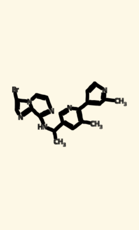 Cc1cc(-c2ncc(C(C)Nc3nccn4c(Br)cnc34)cc2C)ccn1